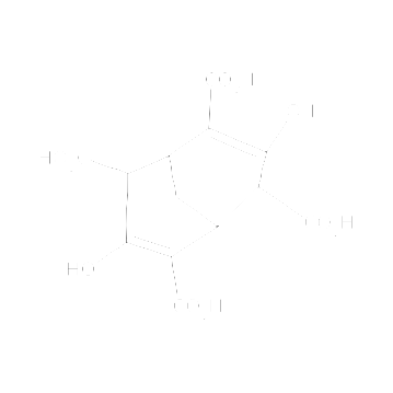 O=C(O)C1=C(O)C(C(=O)O)C2CC1C(C(=O)O)C(O)=C2C(=O)O